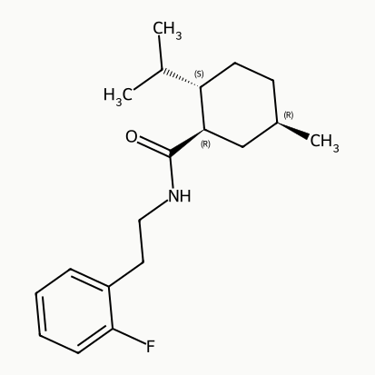 CC(C)[C@@H]1CC[C@@H](C)C[C@H]1C(=O)NCCc1ccccc1F